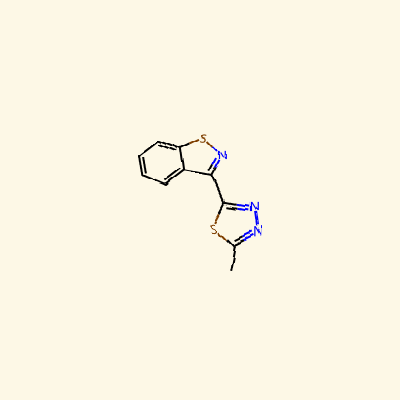 Cc1nnc(-c2nsc3ccccc23)s1